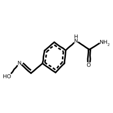 NC(=O)Nc1ccc(C=NO)cc1